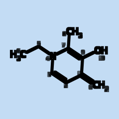 C=C1C=CN(CC)C(C)=C1O